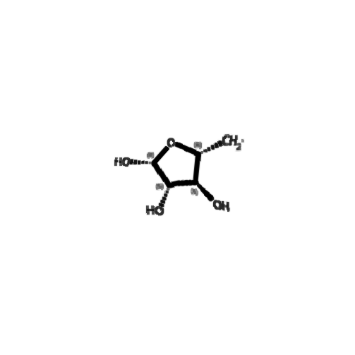 [CH2][C@H]1O[C@@H](O)[C@@H](O)[C@@H]1O